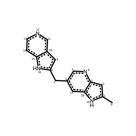 Cc1cc2ncc(Cc3cc4cnccc4[nH]3)cc2[nH]1